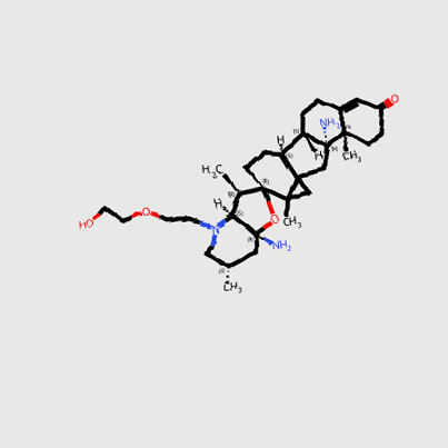 C[C@@H]1CN(CCOCCO)[C@H]2[C@@H](C)[C@@]3(CC[C@H]4[C@@H]5CCC6=CC(=O)CC[C@]6(C)[C@@]5(N)CC45CC53C)O[C@]2(N)C1